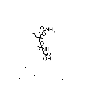 CCCC(C)(COC(N)=O)COC(=O)NCC(=O)O